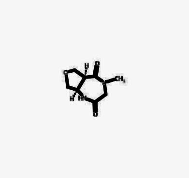 CN1CC(=O)N[C@H]2COC[C@H]2C1=O